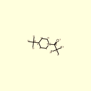 CC(F)(F)C(=O)N1CCC(C(C)(C)C)CC1